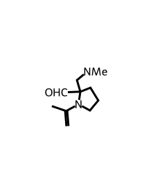 C=C(C)N1CCCC1(C=O)CNC